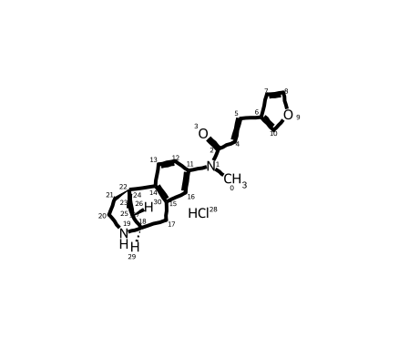 CN(C(=O)/C=C/c1ccoc1)c1ccc2c(c1)C[C@H]1NCC[C@@]23CCCC[C@@H]13.Cl